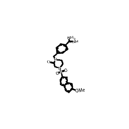 COc1ccc2ccc(S(=O)(=O)N3CCN(Cc4ccc(C(=N)N)cc4)C(=O)C3)cc2c1